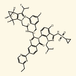 CCc1ccnc(-c2ccc3c(=O)n(-c4ccc(Cl)c5c(NS(=O)(=O)C6CC6)nn(CC(F)F)c45)c([C@H](Cc4cc(F)cc(F)c4)NC(=O)Cn4nc(C(F)F)c5c4C(F)(F)[C@@H]4C[C@H]54)nc3c2)n1